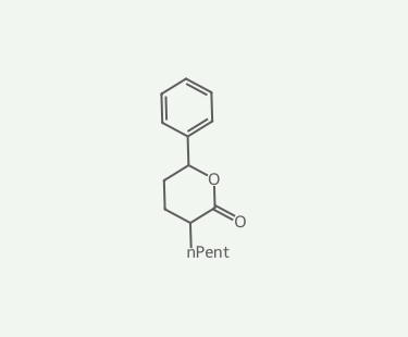 CCCCCC1CCC(c2ccccc2)OC1=O